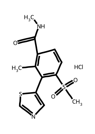 CNC(=O)c1ccc(S(C)(=O)=O)c(-c2cncs2)c1C.Cl